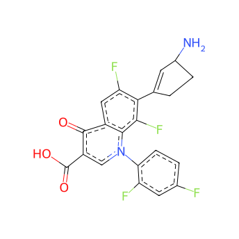 NC1C=C(c2c(F)cc3c(=O)c(C(=O)O)cn(-c4ccc(F)cc4F)c3c2F)CC1